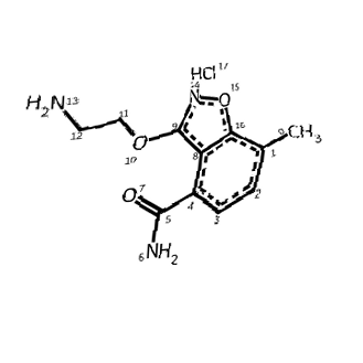 Cc1ccc(C(N)=O)c2c(OCCN)noc12.Cl